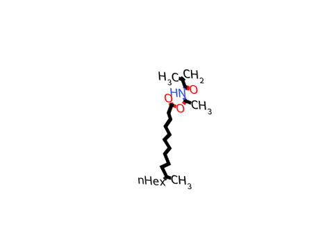 C=C(C)C(=O)NC(C)OC(=O)CCCCCCCCCC(C)CCCCCC